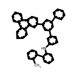 Cc1ccccc1-c1ccccc1Nc1cccc(-c2cc(-c3ccccc3)cc(-c3ccc4c5ccccc5c5ccccc5c4c3)c2)c1